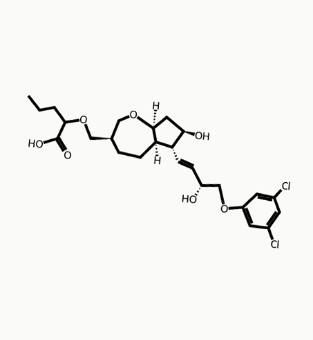 CCCC(OC[C@@H]1CC[C@@H]2[C@@H](C=C[C@@H](O)COc3cc(Cl)cc(Cl)c3)[C@H](O)C[C@@H]2OC1)C(=O)O